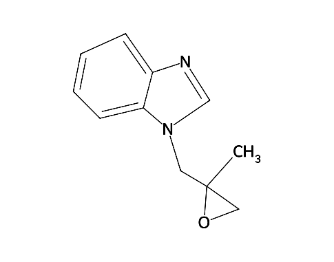 CC1(Cn2cnc3ccccc32)CO1